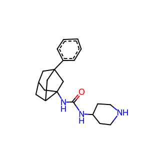 O=C(NC1CCNCC1)NC12CC3CC1CC(c1ccccc1)(C3)C2